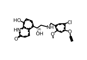 C#COc1cc(OC)c(CNC[C@H](O)c2ccc(O)c3[nH]c(=O)ccc23)cc1Cl